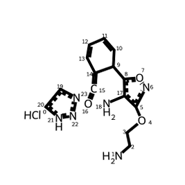 Cl.NCCOc1noc(C2C=CC=CC2=C=O)c1N.c1c[nH]nn1